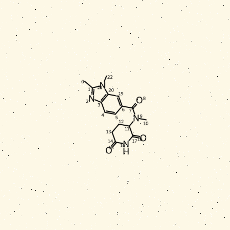 Cc1nc2ccc(C(=O)N(C)C3CCC(=O)NC3=O)cc2n1C